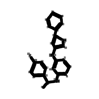 CC(Nc1ncnc(Nc2cc(-c3ccccc3)[nH]n2)n1)c1ccc(F)cc1